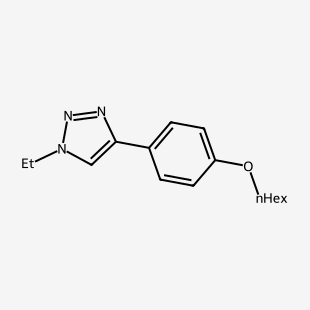 CCCCCCOc1ccc(-c2cn(CC)nn2)cc1